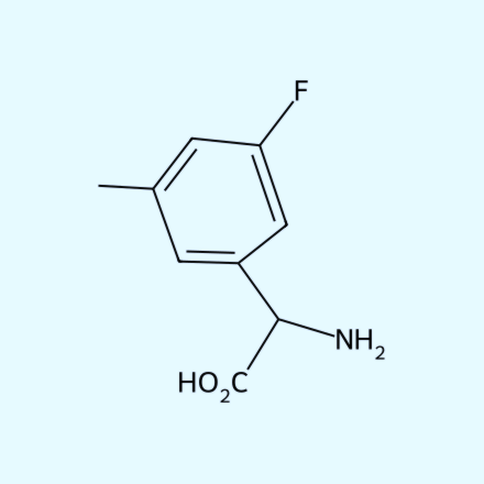 Cc1cc(F)cc(C(N)C(=O)O)c1